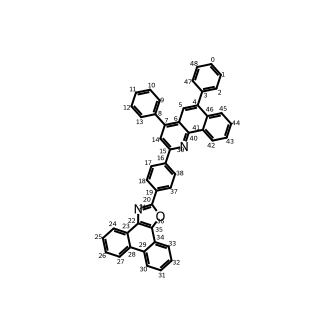 c1ccc(-c2cc3c(-c4ccccc4)cc(-c4ccc(-c5nc6c7ccccc7c7ccccc7c6o5)cc4)nc3c3ccccc23)cc1